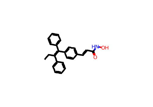 CC/C(=C(\c1ccccc1)c1ccc(/C=C/C(=O)NO)cc1)c1ccccc1